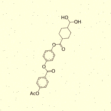 CC(=O)Oc1ccc(C(=O)Oc2ccc(OC(=O)C3CCC(C(O)O)CC3)cc2)cc1